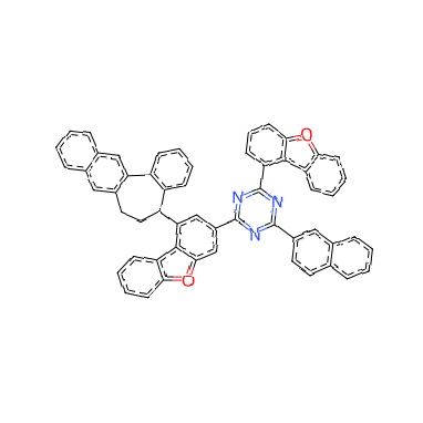 c1ccc2c(c1)-c1cc3ccccc3cc1CCC2c1cc(-c2nc(-c3ccc4ccccc4c3)nc(-c3cccc4oc5ccccc5c34)n2)cc2oc3ccccc3c12